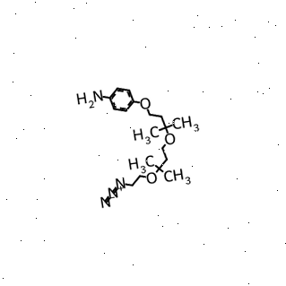 CC(C)(CCOc1ccc(N)cc1)OCCC(C)(C)OCCN=[N+]=[N-]